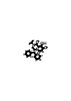 CC(C)N1CC([C@@H](c2ccccc2)c2ccccn2)n2ncc(=O)c(O)c2C1=O